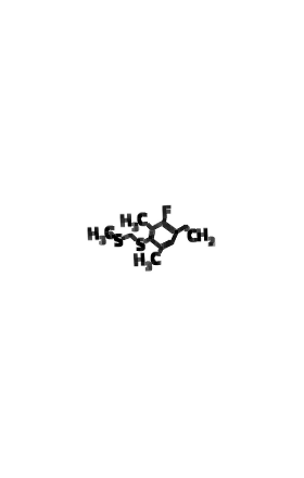 C=Cc1cc(C)c(SCSC)c(C)c1F